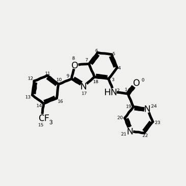 O=C(Nc1cccc2oc(-c3cccc(C(F)(F)F)c3)nc12)c1cnccn1